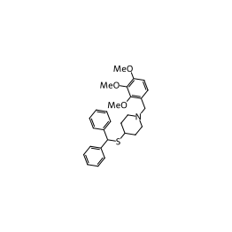 COc1ccc(CN2CCC(SC(c3ccccc3)c3ccccc3)CC2)c(OC)c1OC